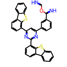 N=COC(=N)c1cccc(-c2cc(-c3cccc4c3sc3ccccc34)nc(-c3cccc4c3sc3ccccc34)n2)c1